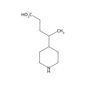 CC(CCC(=O)O)C1CCNCC1